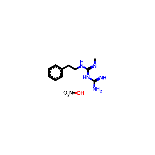 C/N=C(\NCCc1ccccc1)NC(=N)N.O=[N+]([O-])O